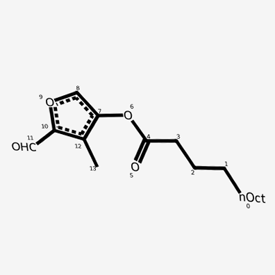 CCCCCCCCCCCC(=O)Oc1coc(C=O)c1C